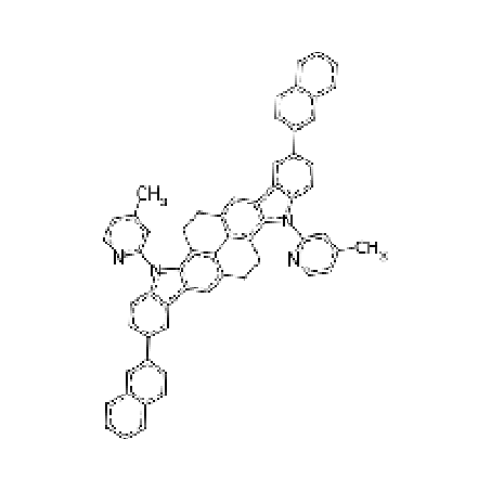 Cc1ccnc(-n2c3ccc(-c4ccc5ccccc5c4)cc3c3cc4c5c(c32)CCc2cc3c6cc(-c7ccc8ccccc8c7)ccc6n(-c6cc(C)ccn6)c3c(c2-5)CC4)c1